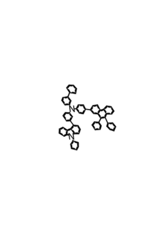 c1ccc(-c2cccc(N(c3ccc(-c4ccc5c(c4)c(-c4ccccc4)c(-c4ccccc4)c4ccccc45)cc3)c3cccc(-c4cccc5c4c4ccccc4n5-c4ccccc4)c3)c2)cc1